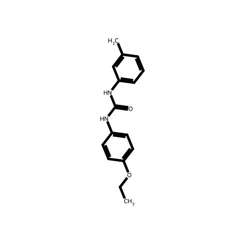 CCOc1ccc(NC(=O)Nc2cccc(C)c2)cc1